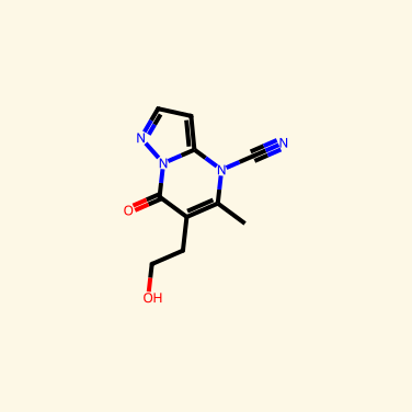 Cc1c(CCO)c(=O)n2nccc2n1C#N